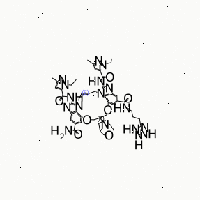 CCn1nc(C)cc1C(=O)Nc1nc2cc(C(N)=O)cc3c2n1C/C=C/Cn1c(NC(=O)c2cc(C)nn2CC)nc2cc(C(=O)NCCCC4=NNNN4)cc(c21)OC[C@H](N1C2CCC1COC2)CO3